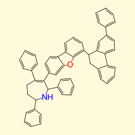 c1ccc(C2=C(c3ccc4c(c3)oc3c(C5Cc6ccccc6-c6ccc(-c7ccccc7)cc65)cccc34)C(c3ccccc3)NC(c3ccccc3)CC2)cc1